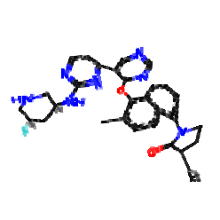 CCC1CCN(c2cccc3c(Oc4ncncc4-c4ccnc(N[C@@H]5CNC[C@@H](F)C5)n4)c(C)ccc23)C1=O